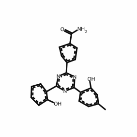 Cc1ccc(-c2nc(-c3ccc(C(N)=O)cc3)nc(-c3ccccc3O)n2)c(O)c1